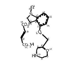 CCN1CCc2c(OCC3CNCCO3)cccc21.O=C(O)C=CC(=O)O